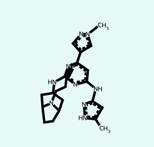 Cc1cc(Nc2cc(-c3cnn(C)c3)nc(NC3CC4CCC(C3)N4CCC#N)n2)n[nH]1